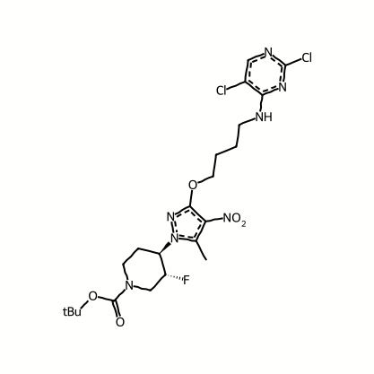 Cc1c([N+](=O)[O-])c(OCCCCNc2nc(Cl)ncc2Cl)nn1[C@@H]1CCN(C(=O)OC(C)(C)C)C[C@H]1F